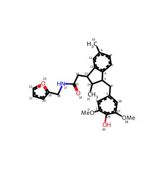 COc1cc(CC2c3ccc(C)cc3C(CC(=O)NCc3ccco3)C2C)cc(OC)c1O